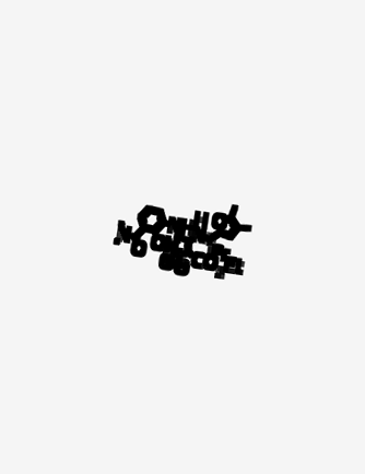 CCOC(=O)C1=C(N[C@@H](c2cc(C)c(C)o2)C(C)C)C(Nc2cccc(C(=O)N(C)C)c2O)=NS1(=O)=O